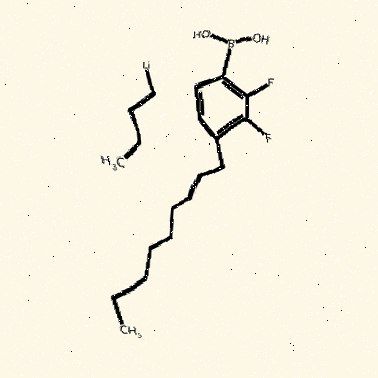 CCCCCCCCCc1ccc(B(O)O)c(F)c1F.[Li][CH2]CCC